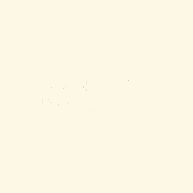 Cc1coc2ccc(C(=O)NC3CC4CC3CN4)cc12